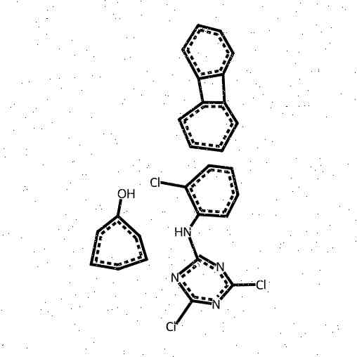 Clc1nc(Cl)nc(Nc2ccccc2Cl)n1.Oc1ccccc1.c1ccc2c(c1)-c1ccccc1-2